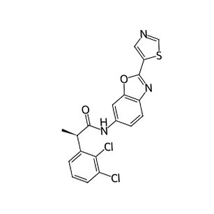 C[C@@H](C(=O)Nc1ccc2nc(-c3cncs3)oc2c1)c1cccc(Cl)c1Cl